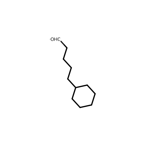 O=[C]CCCCC1CCCCC1